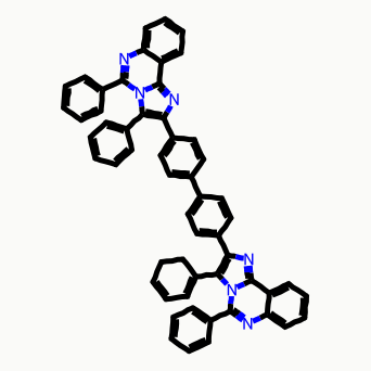 C1=CCCC(c2c(-c3ccc(-c4ccc(-c5nc6c7ccccc7nc(-c7ccccc7)n6c5-c5ccccc5)cc4)cc3)nc3c4ccccc4nc(-c4ccccc4)n23)=C1